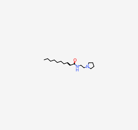 CCCCCCCC=CC(=O)NCCN1CCCC1